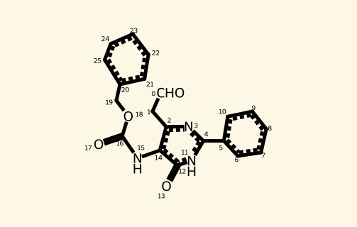 O=CCc1nc(-c2ccccc2)[nH]c(=O)c1NC(=O)OCc1ccccc1